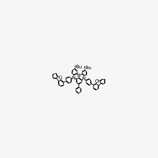 CC(C)(C)c1ccc2c(c1)B1c3cc(C(C)(C)C)ccc3N(c3ccc(-c4cccc5c4oc4ccccc45)cc3)c3cc(-c4ccccc4)cc(c31)N2c1ccc(-c2cccc3c2oc2ccccc23)cc1